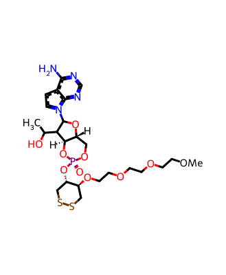 COCCOCCOCCO[C@H]1CSSC[C@@H]1OP1(=O)OC[C@H]2OC(n3ccc4c(N)ncnc43)C(C(C)O)[C@@H]2O1